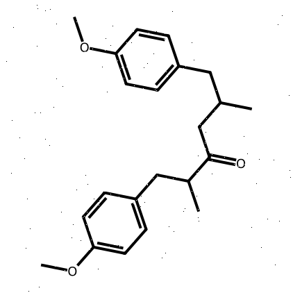 COc1ccc(CC(C)CC(=O)C(C)Cc2ccc(OC)cc2)cc1